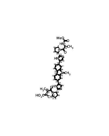 COC(=O)N[C@@H](C)C(=O)N1CCC[C@H]1c1ncc(-c2ccc3c4ccc(-c5cnc([C@@H]6CCCN6C(=O)[C@H](C)N(C)C(=O)O)[nH]5)cc4n(C)c3c2)[nH]1